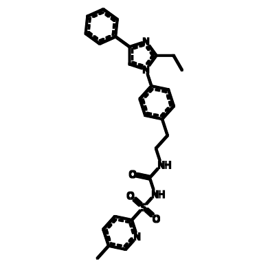 CCc1nc(-c2ccccc2)cn1-c1ccc(CCNC(=O)NS(=O)(=O)c2ccc(C)cn2)cc1